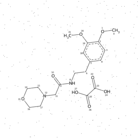 COc1ccc(CCNC(=O)CN2CCOCC2)cc1OC.O=C(O)C(=O)O